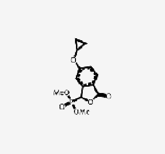 COP(=O)(OC)C1OC(=O)c2ccc(OC3CC3)cc21